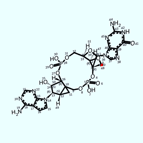 CO[C@H]1[C@H]2OP(=O)(O)OCC34C[C@@H]3[C@@H](n3ccc5c(N)ncnc53)[C@H](O)[C@@H]4OP(=O)(O)OC[C@H]1O[C@H]2n1cnc2c(=O)[nH]c(N)nc21